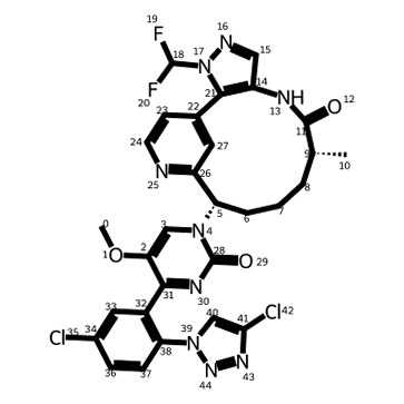 COc1cn([C@H]2CCC[C@@H](C)C(=O)Nc3cnn(C(F)F)c3-c3ccnc2c3)c(=O)nc1-c1cc(Cl)ccc1-n1cc(Cl)nn1